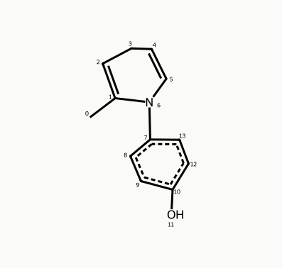 CC1=CCC=CN1c1ccc(O)cc1